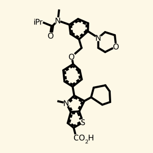 CC(C)C(=O)N(C)c1ccc(N2CCOCC2)c(COc2ccc(-c3c(C4CCCCC4)c4sc(C(=O)O)cc4n3C)cc2)c1